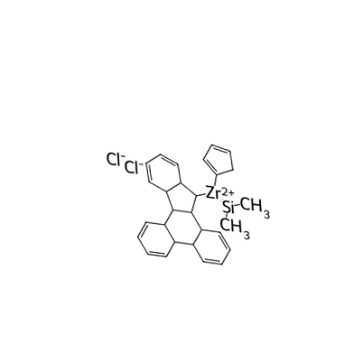 C[Si](C)=[Zr+2]([C]1=CC=CC1)[CH]1C2C=CC=CC2C2C3C=CC=CC3C3C=CC=CC3C21.[Cl-].[Cl-]